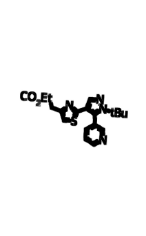 CCOC(=O)Cc1csc(-c2cnn(C(C)(C)C)c2-c2cccnc2)n1